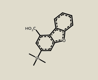 [CH3][Sn]([CH3])([CH3])[c]1cc(C(=O)O)c2c(c1)oc1ccccc12